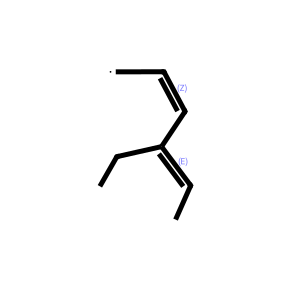 [CH2]/C=C\C(=C\C)CC